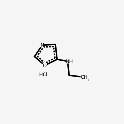 CCNc1cnco1.Cl